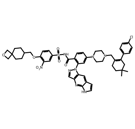 CC1(C)CCC(CN2CCN(c3ccc(C(=O)NS(=O)(=O)c4ccc(OCC5CCC6(CC5)COC6)c([N+](=O)[O-])c4)c(-n4ncc5nc6[nH]ccc6cc54)c3)CC2)=C(c2ccc(Cl)cc2)C1